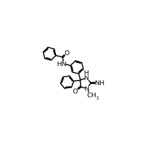 CN1C(=N)NC(c2ccccc2)(c2cccc(NC(=O)c3ccccc3)c2)C1=O